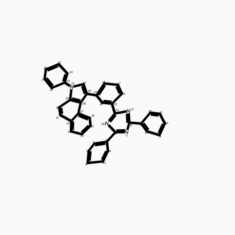 c1ccc(-c2nc(-c3ccccc3)nc(-c3cccc(-c4cn(-c5ccccc5)c5ccc6ccccc6c45)c3)n2)cc1